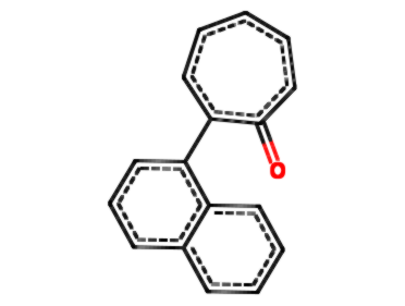 O=c1cccccc1-c1cccc2ccccc12